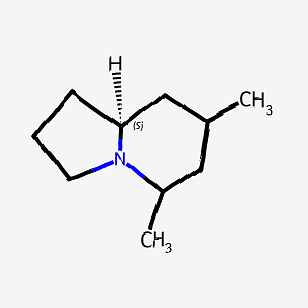 CC1CC(C)N2CCC[C@H]2C1